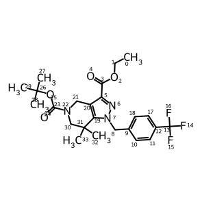 CCOC(=O)c1nn(Cc2ccc(C(F)(F)F)cc2)c2c1CN(C(=O)OC(C)(C)C)CC2(C)C